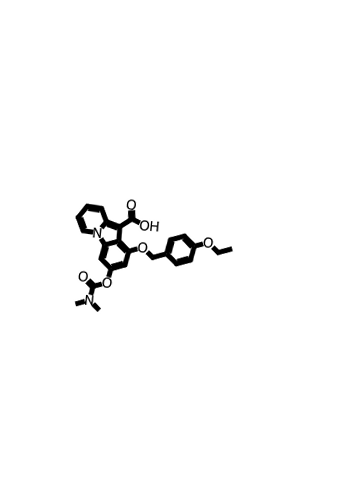 CCOc1ccc(COc2cc(OC(=O)N(C)C)cc3c2c(C(=O)O)c2ccccn23)cc1